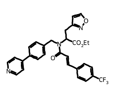 CCOC(=O)C(Cc1ccon1)N(Cc1ccc(-c2ccncc2)cc1)C(=O)/C=C/c1ccc(C(F)(F)F)cc1